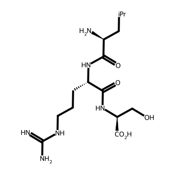 CC(C)C[C@H](N)C(=O)N[C@@H](CCCNC(=N)N)C(=O)N[C@@H](CO)C(=O)O